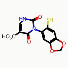 O=C(O)c1c[nH]c(=O)n(-c2cc3c(cc2S)OCO3)c1=O